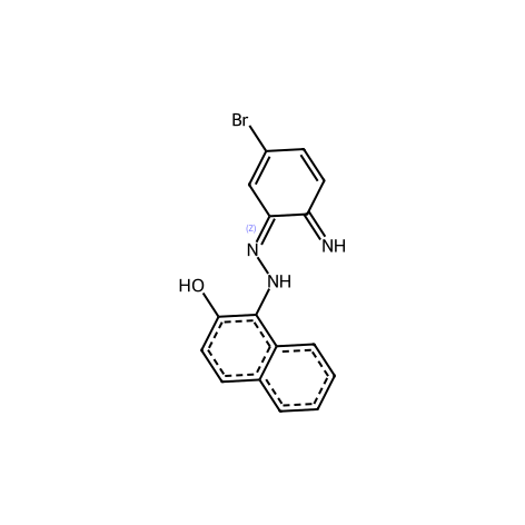 N=C1C=CC(Br)=C/C1=N/Nc1c(O)ccc2ccccc12